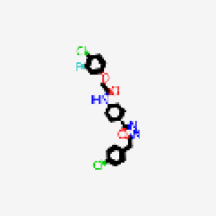 O=C(COc1ccc(Cl)c(F)c1)N[C@H]1CC[C@H](c2nnc(Cc3ccc(Cl)cc3)o2)CC1